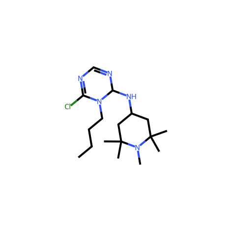 CCCCN1C(Cl)=NC=NC1NC1CC(C)(C)N(C)C(C)(C)C1